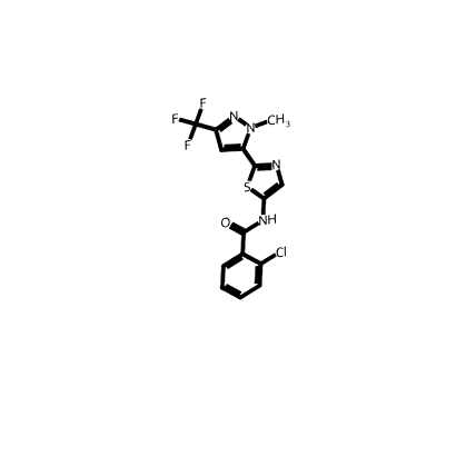 Cn1nc(C(F)(F)F)cc1-c1ncc(NC(=O)c2ccccc2Cl)s1